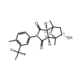 Cc1ccc(N2C(=O)[C@@H]3[C@H](C2=O)C2(C)C[C@H](O)C3(C)O2)cc1C(F)(F)F